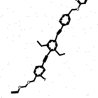 C=COCOCc1ccc(C#Cc2c(CC)cc(C#Cc3ccc(COC(=O)C=C)cc3)cc2CC)cc1F